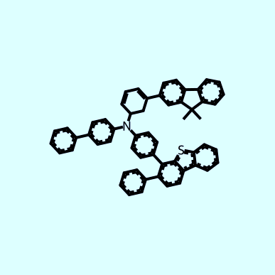 CC1(C)c2ccccc2-c2ccc(C3=CC=CC(N(c4ccc(-c5ccccc5)cc4)c4ccc(-c5c(-c6ccccc6)ccc6c5sc5ccccc56)cc4)C3)cc21